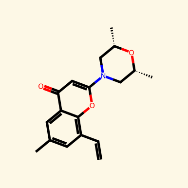 C=Cc1cc(C)cc2c(=O)cc(N3C[C@@H](C)O[C@@H](C)C3)oc12